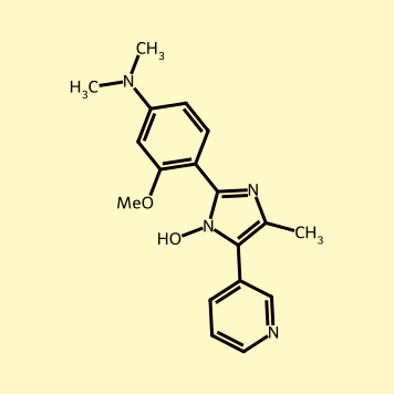 COc1cc(N(C)C)ccc1-c1nc(C)c(-c2cccnc2)n1O